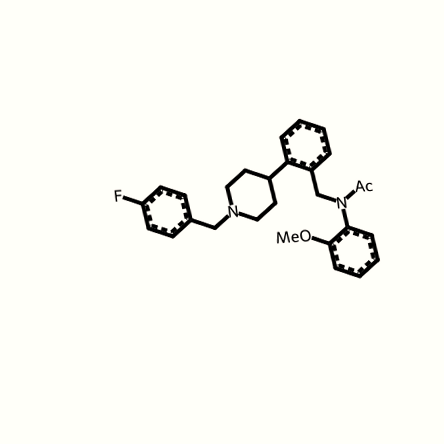 COc1ccccc1N(Cc1ccccc1C1CCN(Cc2ccc(F)cc2)CC1)C(C)=O